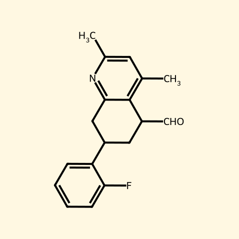 Cc1cc(C)c2c(n1)CC(c1ccccc1F)CC2C=O